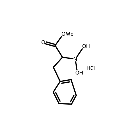 COC(=O)C(Cc1ccccc1)N(O)O.Cl